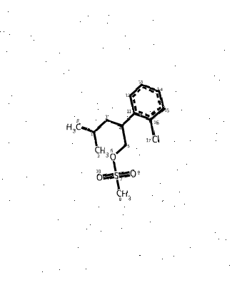 CC(C)CC(COS(C)(=O)=O)c1ccccc1Cl